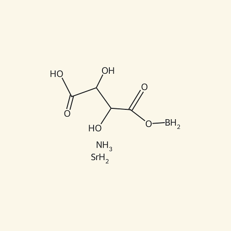 BOC(=O)C(O)C(O)C(=O)O.N.[SrH2]